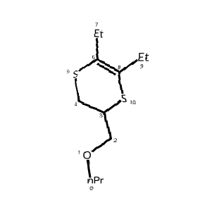 CCCOCC1CSC(CC)=C(CC)S1